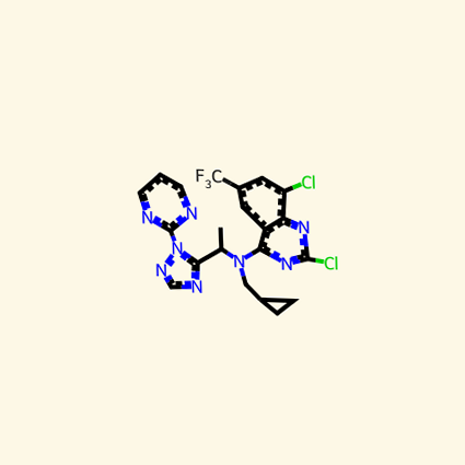 CC(c1ncnn1-c1ncccn1)N(CC1CC1)c1nc(Cl)nc2c(Cl)cc(C(F)(F)F)cc12